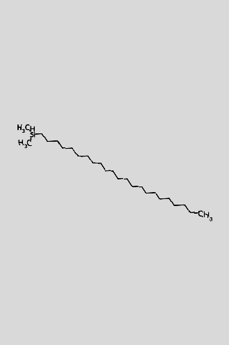 CCCCCCCCCCCCCCCCCCCCCCC[SiH](C)C